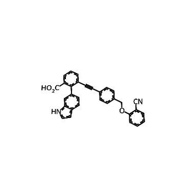 N#Cc1ccccc1OCc1ccc(C#Cc2cccc(C(=O)O)c2-c2ccc3cc[nH]c3c2)cc1